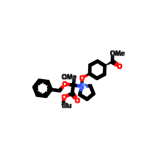 COC(=O)[C@H]1CC[C@H](O[N+]2(C(OC)(OCc3ccccc3)C(=O)OC(C)(C)C)CCCC2)CC1